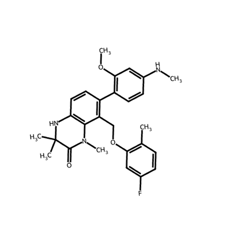 CNc1ccc(-c2ccc3c(c2COc2cc(F)ccc2C)N(C)C(=O)C(C)(C)N3)c(OC)c1